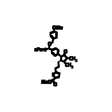 CCCCCC(OCc1ccc(OC)cc1)c1ccc([C@H]2C(=O)C(C)C(C)[C@@H]2CCCc2ccc(C(=O)OC)s2)cc1